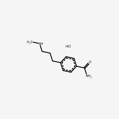 CNCCCc1ccc(C(N)=O)cc1.Cl